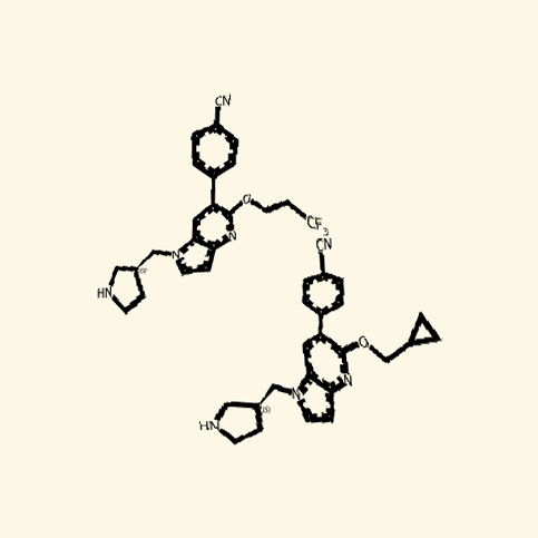 N#Cc1ccc(-c2cc3c(ccn3C[C@H]3CCNC3)nc2OCC2CC2)cc1.N#Cc1ccc(-c2cc3c(ccn3C[C@H]3CCNC3)nc2OCCC(F)(F)F)cc1